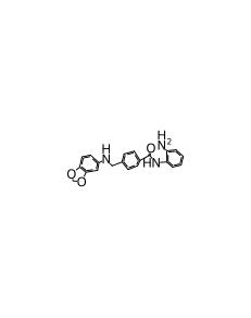 Nc1ccccc1NC(=O)c1ccc(CNc2ccc3c(c2)OCO3)cc1